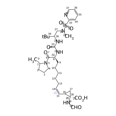 CC1CCCN1C(=O)[C@H](CCCCC/C=C\C1C[C@]1(NC=O)C(=O)O)NC(=O)NC(CN(C)S(=O)(=O)c1ccccn1)C(C)(C)C